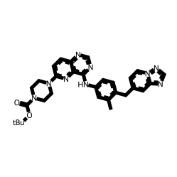 Cc1cc(Nc2ncnc3ccc(N4CCN(C(=O)OC(C)(C)C)CC4)nc23)ccc1Cc1ccn2ncnc2c1